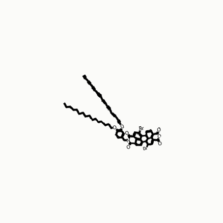 C#CC#CC#CC#CC#CC#CC#CC#COc1cc(CN2C(=O)c3ccc4c5c(Br)cc6c7c(ccc(c8c(Br)cc(c3c48)C2=O)c75)C(=O)OC6=O)ccc1OCCCCCCCCCCCCCCCC